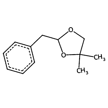 CC1(C)COC(Cc2ccccc2)O1